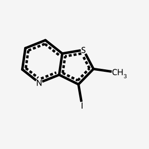 Cc1sc2cccnc2c1I